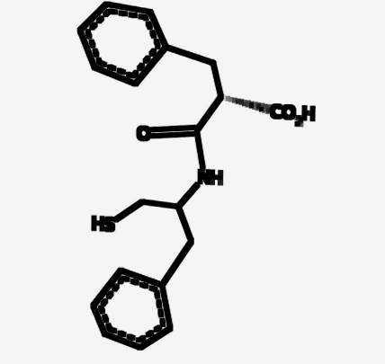 O=C(O)[C@@H](Cc1ccccc1)C(=O)NC(CS)Cc1ccccc1